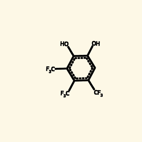 Oc1cc(C(F)(F)F)c(C(F)(F)F)c(C(F)(F)F)c1O